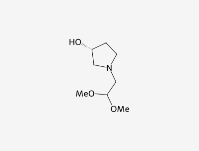 COC(CN1CC[C@@H](O)C1)OC